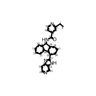 CCc1cc(C(=O)NC2c3ccccc3-c3c(-c4nc5ccncc5[nH]4)cccc32)ccn1